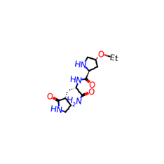 CCO[C@H]1CN[C@H](C(=O)N[C@@H](C[C@@H]2CCNC2=O)C(N)=O)C1